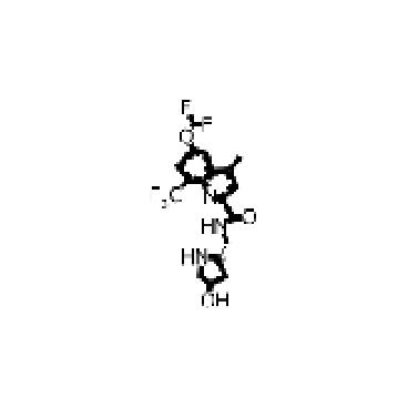 Cc1cc(C(=O)NC[C@@H]2CC(O)CN2)nc2c(C(F)(F)F)cc(OC(F)F)cc12